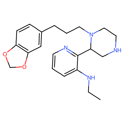 CCNc1cccnc1C1CNCCN1CCCc1ccc2c(c1)OCO2